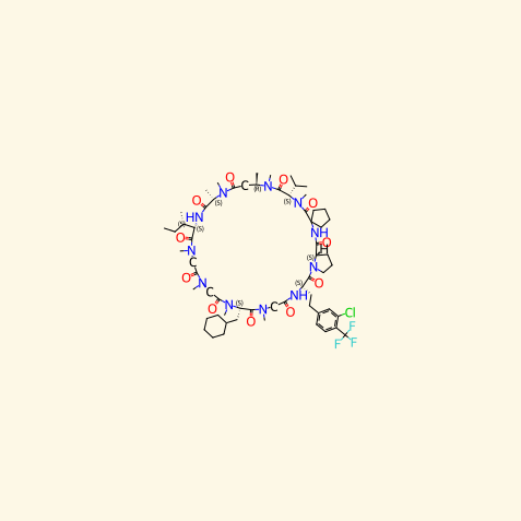 CC[C@H](C)[C@@H]1NC(=O)[C@H](C)N(C)C(=O)C[C@@H](C)N(C)C(=O)[C@H](C(C)C)N(C)C(=O)C2(CCCC2)NC(=O)[C@@H]2CCCN2C(=O)[C@H](CCc2ccc(C(F)(F)F)c(Cl)c2)NC(=O)CN(C)C(=O)[C@H](CC2CCCCC2)N(C)C(=O)CN(C)C(=O)CN(C)C1=O